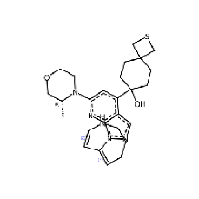 C[C@@H]1COCCN1c1cc(C2(O)CCC3(CC2)CSC3)c2cnn(C3=C\CCCN/C=C\3)c2n1